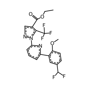 CCOC(=O)c1cnn(-c2cccc(-c3cc(C(F)F)ccc3OC)n2)c1C(F)(F)F